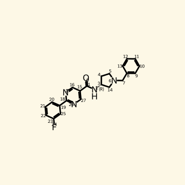 O=C(N[C@@H]1CCN(Cc2ccccc2)C1)c1cnc(-c2cccc(F)c2)nc1